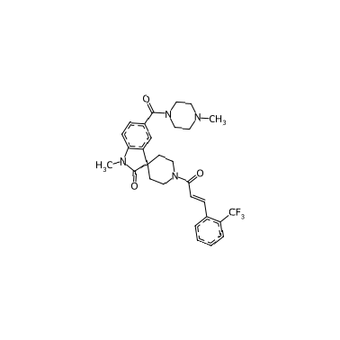 CN1CCN(C(=O)c2ccc3c(c2)C2(CCN(C(=O)C=Cc4ccccc4C(F)(F)F)CC2)C(=O)N3C)CC1